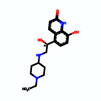 O=C(O)CN1CCC(NC[C@@H](O)c2ccc(O)c3[nH]c(=O)ccc23)CC1